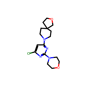 Clc1cc(N2CCC3(CCOC3)CC2)nc(N2CCOCC2)n1